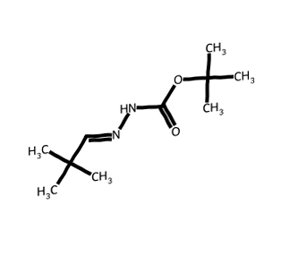 CC(C)(C)C=NNC(=O)OC(C)(C)C